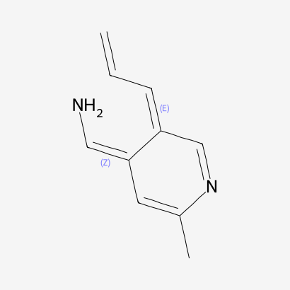 C=C/C=c1/cnc(C)c/c1=C/N